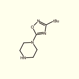 CC(C)(C)c1noc(N2CCNCC2)n1